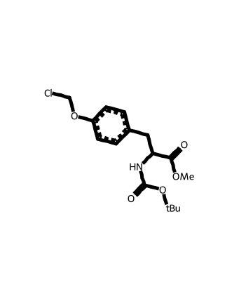 COC(=O)C(Cc1ccc(OCCl)cc1)NC(=O)OC(C)(C)C